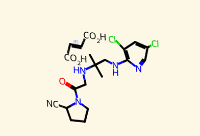 CC(C)(CNc1ncc(Cl)cc1Cl)NCC(=O)N1CCCC1C#N.O=C(O)/C=C/C(=O)O